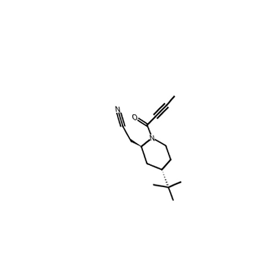 CC#CC(=O)N1CC[C@H](C(C)(C)C)C[C@H]1CC#N